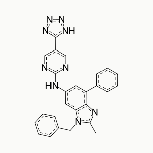 Cc1nc2c(-c3ccccc3)cc(Nc3ncc(-c4nnn[nH]4)cn3)cc2n1Cc1ccccc1